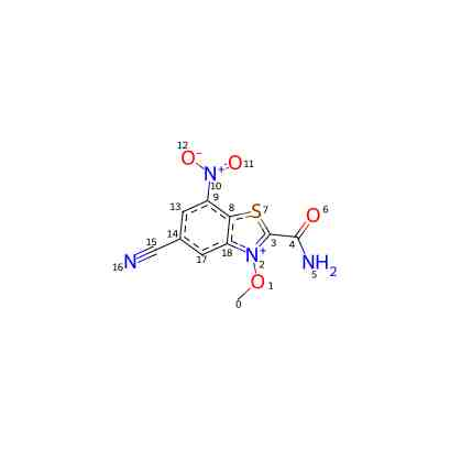 CO[n+]1c(C(N)=O)sc2c([N+](=O)[O-])cc(C#N)cc21